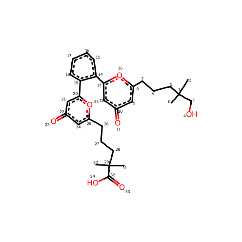 CC(C)(CO)CCCc1cc(=O)cc(-c2ccccc2-c2cc(=O)cc(CCCC(C)(C)C(=O)O)o2)o1